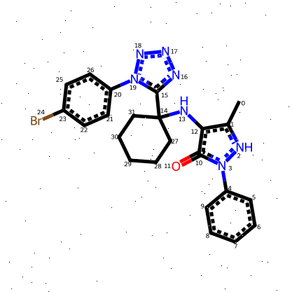 Cc1[nH]n(-c2ccccc2)c(=O)c1NC1(c2nnnn2-c2ccc(Br)cc2)CCCCC1